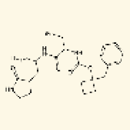 CC(C)CC(NC(=O)OC1(Cc2ccccc2)CCC1)C(=O)NC(CC1CCNC1=O)C(=O)O